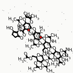 CC(=O)N[C@@H]1[C@H](O[C@@H]2C(CO[C@@H]3OC(COC(C)=O)C(OC(C)=O)[C@@H](OC(C)=O)[C@@H]3OC(C)=O)O[C@@H](OC3C(O)OC(C(N)=O)[C@@](C)(O)[C@@H]3OC(N)=O)[C@@H](NC(C)=O)C2OC(C)=O)OC(C)C(O[C@@H]2OC(C(=O)NC3=C(O)CCC3=O)[C@H](OC(C)=O)C(OC(C)=O)[C@@H]2OC(C)=O)[C@H]1OC(C)=O